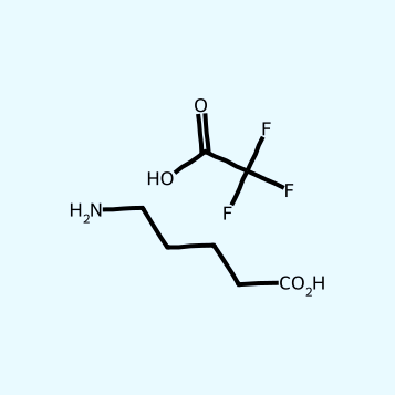 NCCCCC(=O)O.O=C(O)C(F)(F)F